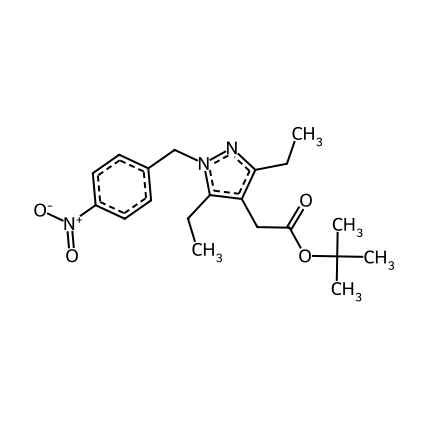 CCc1nn(Cc2ccc([N+](=O)[O-])cc2)c(CC)c1CC(=O)OC(C)(C)C